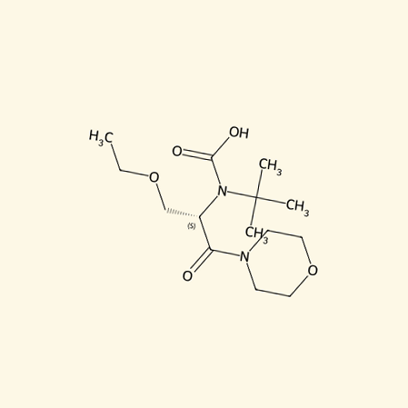 CCOC[C@@H](C(=O)N1CCOCC1)N(C(=O)O)C(C)(C)C